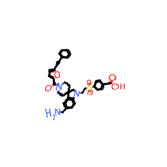 NCc1ccc2c(c1)C1(CCN(C(=O)c3ccc(C#Cc4ccccc4)o3)CC1)CN2CCS(=O)(=O)c1ccc(C(=O)O)cc1